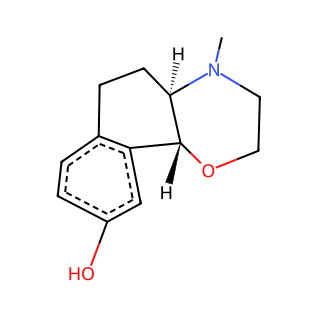 CN1CCO[C@@H]2c3cc(O)ccc3CC[C@H]21